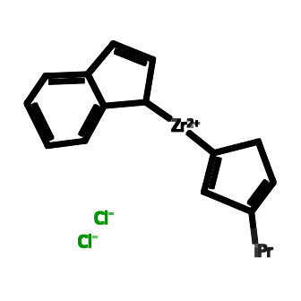 CC(C)C1=CC[C]([Zr+2][CH]2C=Cc3ccccc32)=C1.[Cl-].[Cl-]